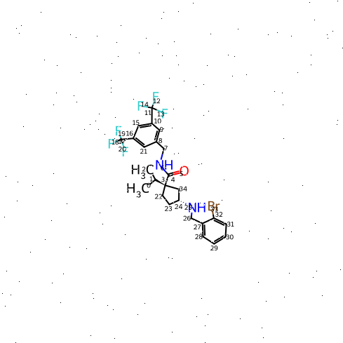 CC(C)[C@]1(C(=O)NCc2cc(C(F)(F)F)cc(C(F)(F)F)c2)CC[C@@H](NCc2ccccc2Br)C1